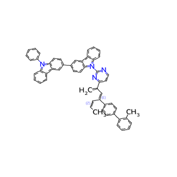 C=C(/C=C(\C=C/C)c1ccc(-c2ccccc2C)cc1)c1ccnc(-n2c3ccccc3c3cc(-c4ccc5c(c4)c4ccccc4n5-c4ccccc4)ccc32)n1